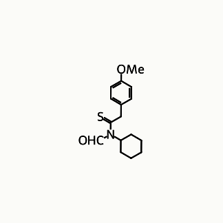 COc1ccc(CC(=S)N(C=O)C2CCCCC2)cc1